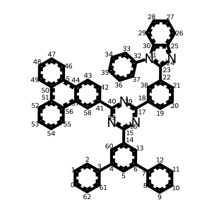 c1ccc(-c2cc(-c3ccccc3)cc(-c3nc(-c4cccc(-c5nc6ccccc6n5-c5ccccc5)c4)nc(-c4ccc5c6ccccc6c6ccccc6c5c4)n3)c2)cc1